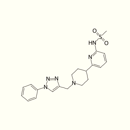 CS(=O)(=O)Nc1cccc(C2CCN(Cc3cn(-c4ccccc4)nn3)CC2)n1